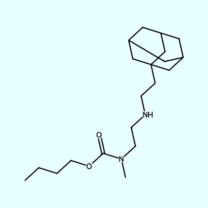 CCCCOC(=O)N(C)CCNCCC12CC3CC(CC(C3)C1)C2